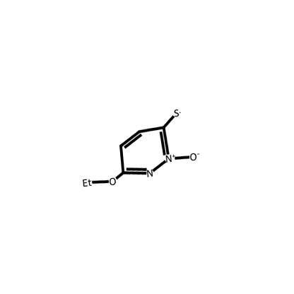 CCOc1ccc([S])[n+]([O-])n1